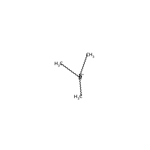 CCCCCCCCCCCCCCCCCCc1n(CCCCCCCCCCCCCCC)cc[n+]1CCCCCCCCCCCCCCCCCC